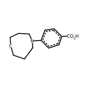 O=C(O)c1ccc(N2CCCCCCC2)cc1